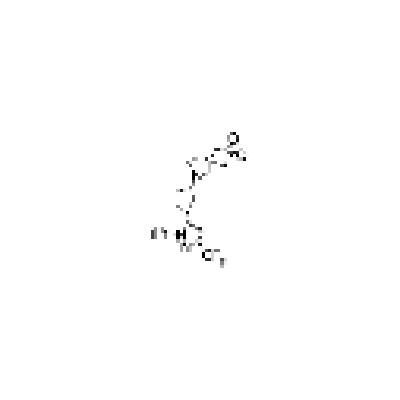 CC(C)n1nc(C(F)(F)F)cc1[C@@H]1CC[C@@H](N2CCC3(C2)CS(=O)(=O)C3)C1